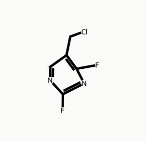 Fc1n[c]c(CCl)c(F)n1